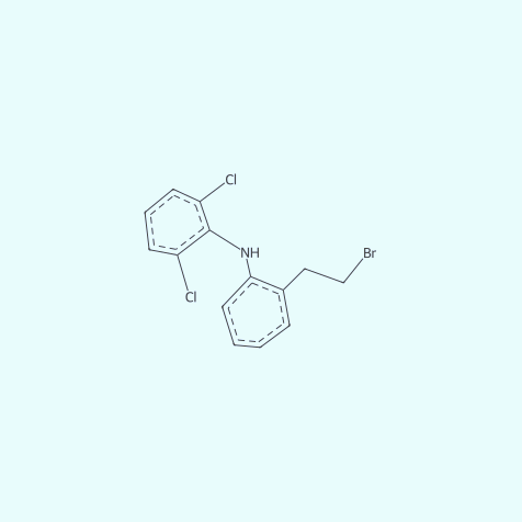 Clc1cccc(Cl)c1Nc1ccccc1CCBr